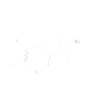 NS(=O)(=O)c1cnc(F)c(Cl)c1